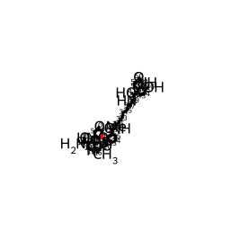 COc1cccc(Nc2c(C(N)=O)cnc3c(C)cc(S(=O)(=O)c4cccc(C(=O)NCCCCCCCCNCC(O)c5ccc(O)c6[nH]c(=O)ccc56)c4)cc23)c1